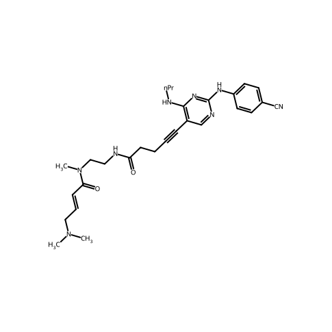 CCCNc1nc(Nc2ccc(C#N)cc2)ncc1C#CCCC(=O)NCCN(C)C(=O)/C=C/CN(C)C